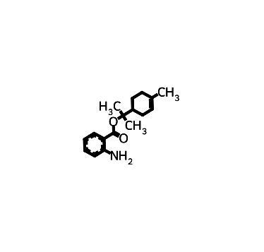 CC1=CCC(C(C)(C)OC(=O)c2ccccc2N)CC1